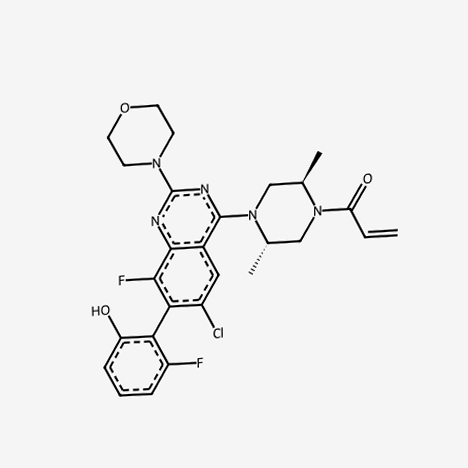 C=CC(=O)N1C[C@H](C)N(c2nc(N3CCOCC3)nc3c(F)c(-c4c(O)cccc4F)c(Cl)cc23)C[C@H]1C